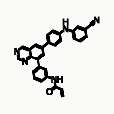 C=CC(=O)Nc1cccc(-c2cc(-c3ccc(Nc4cccc(C#N)c4)cc3)cc3cncnc23)c1